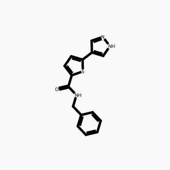 O=C(NCc1ccccc1)c1ccc(-c2cn[nH]c2)s1